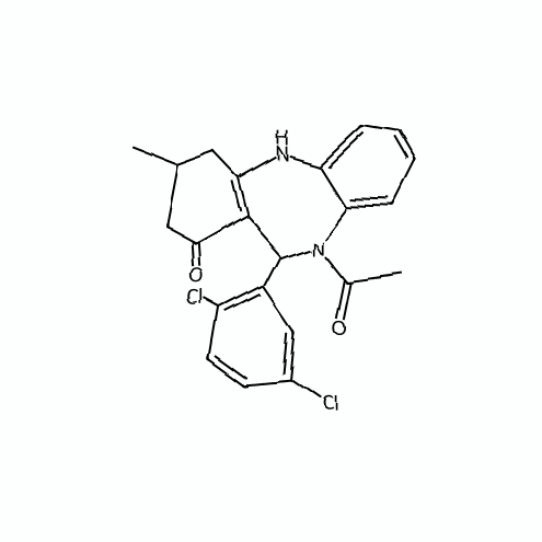 CC(=O)N1c2ccccc2NC2=C(C(=O)CC(C)C2)C1c1cc(Cl)ccc1Cl